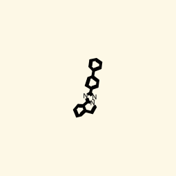 c1ccc(-c2ccc(-c3nc4c5ccccc5ccn4n3)cc2)cc1